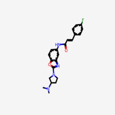 CN(C)C1CCN(c2nc3cc(NC(=O)C=Cc4ccc(F)cc4)ccc3o2)C1